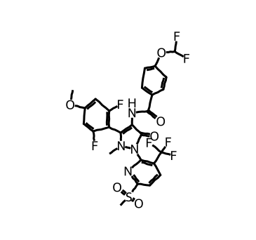 COc1cc(F)c(-c2c(NC(=O)c3ccc(OC(F)F)cc3)c(=O)n(-c3nc(S(C)(=O)=O)ccc3C(F)(F)F)n2C)c(F)c1